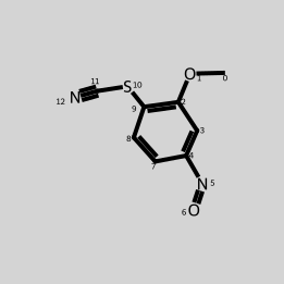 COc1cc(N=O)ccc1SC#N